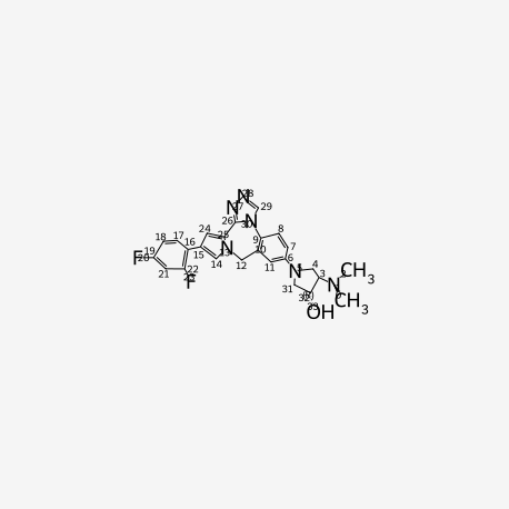 CN(C)C1CN(c2ccc3c(c2)Cn2cc(-c4ccc(F)cc4F)cc2-c2nncn2-3)C[C@H]1O